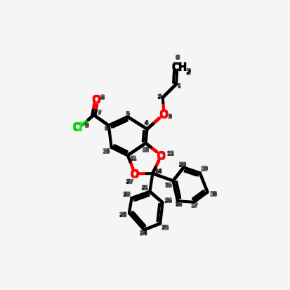 C=CCOc1cc(C(=O)Cl)cc2c1OC(c1ccccc1)(c1ccccc1)O2